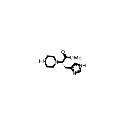 COC(=O)[C@H](Cc1c[nH]cn1)N1CCNCC1